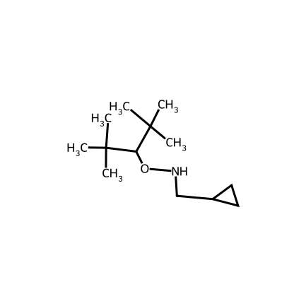 CC(C)(C)C(ONCC1CC1)C(C)(C)C